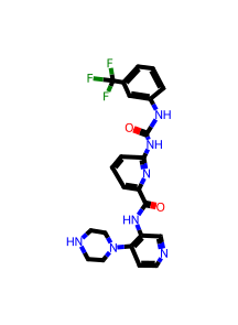 O=C(Nc1cccc(C(F)(F)F)c1)Nc1cccc(C(=O)Nc2cnccc2N2CCNCC2)n1